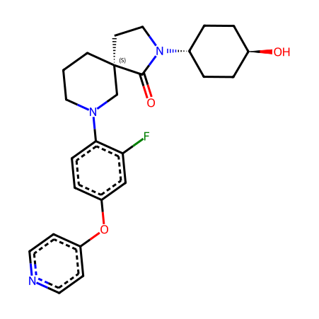 O=C1N([C@H]2CC[C@H](O)CC2)CC[C@]12CCCN(c1ccc(Oc3ccncc3)cc1F)C2